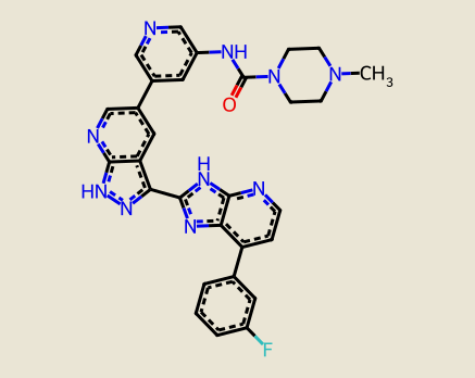 CN1CCN(C(=O)Nc2cncc(-c3cnc4[nH]nc(-c5nc6c(-c7cccc(F)c7)ccnc6[nH]5)c4c3)c2)CC1